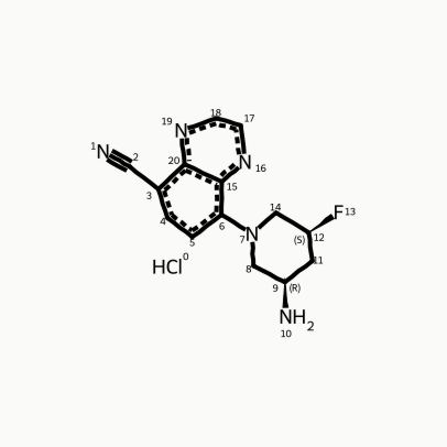 Cl.N#Cc1ccc(N2C[C@H](N)C[C@H](F)C2)c2nccnc12